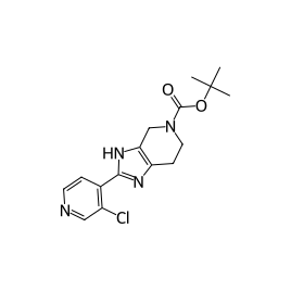 CC(C)(C)OC(=O)N1CCc2nc(-c3ccncc3Cl)[nH]c2C1